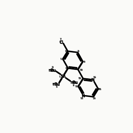 CCC[CH2][Sn]([CH2]CCC)([CH2]CCC)[c]1cc(Cl)ccc1-c1cnccn1